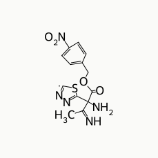 CC(=N)C(N)(C(=O)OCc1ccc([N+](=O)[O-])cc1)c1nn[c]s1